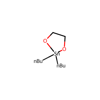 CCC[CH2][Sn]1([CH2]CCC)[O]CC[O]1